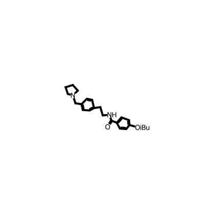 CC(C)COc1ccc(C(=O)NCCc2ccc(CN3CCCC3)cc2)cc1